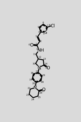 O=C(/C=C/c1ccc(Cl)s1)NCC1CC(=O)N(c2ccc(N3CCCCC3=O)cc2)C1